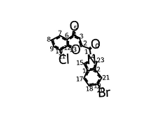 O=C(c1cc(=O)c2cccc(Cl)c2o1)n1cc2ccc(Br)cc2c1